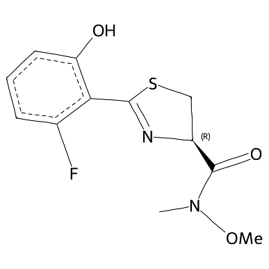 CON(C)C(=O)[C@@H]1CSC(c2c(O)cccc2F)=N1